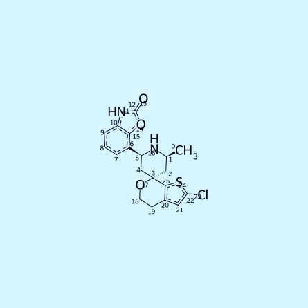 C[C@H]1C[C@@]2(C[C@@H](c3cccc4[nH]c(=O)oc34)N1)OCCc1cc(Cl)sc12